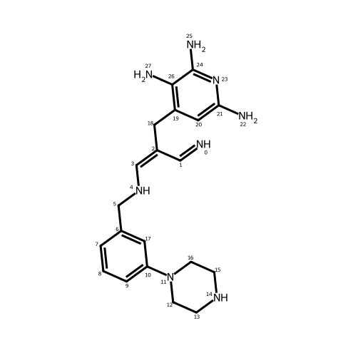 N=C/C(=C\NCc1cccc(N2CCNCC2)c1)Cc1cc(N)nc(N)c1N